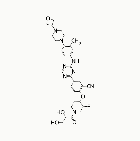 Cc1cc(Nc2ncnc(-c3ccc(O[C@H]4CCN(C(=O)[C@@H](O)CO)C[C@@H]4F)c(C#N)c3)n2)ccc1N1CCN(C2COC2)CC1